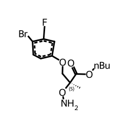 CCCCOC(=O)[C@](C)(COc1ccc(Br)c(F)c1)ON